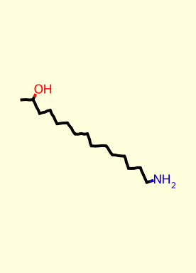 CC(O)CCCCCCCCCCCCCN